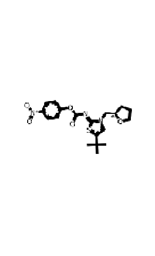 CC(C)(C)c1cn(C[C@H]2CCCO2)c(=NC(=O)Oc2ccc([N+](=O)[O-])cc2)s1